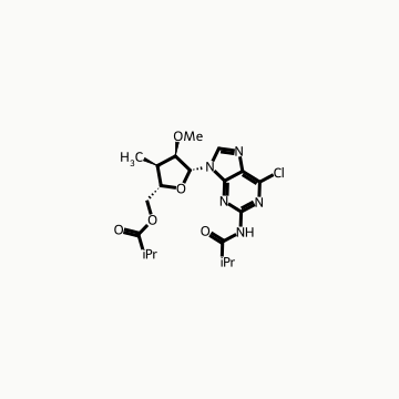 CO[C@@H]1[C@H](C)[C@@H](COC(=O)C(C)C)O[C@H]1n1cnc2c(Cl)nc(NC(=O)C(C)C)nc21